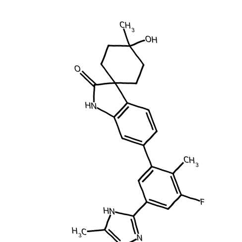 Cc1nnc(-c2cc(F)c(C)c(-c3ccc4c(c3)NC(=O)C43CCC(C)(O)CC3)c2)[nH]1